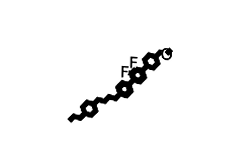 CCCC1CCC(CCCCc2ccc(-c3ccc(C4CCC(COC)CC4)c(F)c3F)cc2)CC1